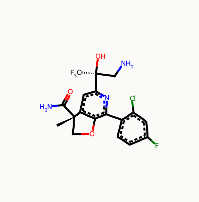 C[C@]1(C(N)=O)COc2c1cc([C@@](O)(CN)C(F)(F)F)nc2-c1ccc(F)cc1Cl